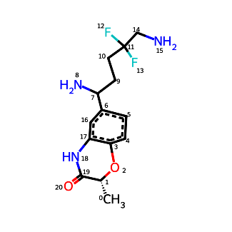 C[C@H]1Oc2ccc(C(N)CCC(F)(F)CN)cc2NC1=O